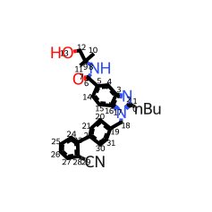 CCCCc1nc2cc(C(=O)NC(C)(C)CO)ccc2n1Cc1ccc(-c2ccccc2C#N)cc1